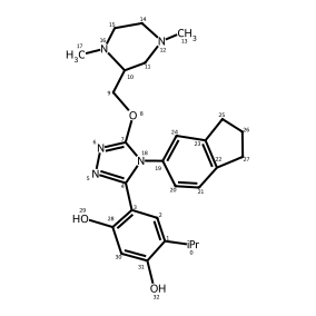 CC(C)c1cc(-c2nnc(OCC3CN(C)CCN3C)n2-c2ccc3c(c2)CCC3)c(O)cc1O